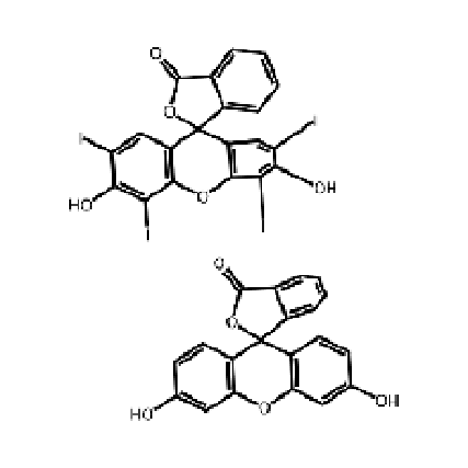 O=C1OC2(c3ccc(O)cc3Oc3cc(O)ccc32)c2ccccc21.O=C1OC2(c3ccccc31)c1cc(I)c(O)c(I)c1Oc1c2cc(I)c(O)c1I